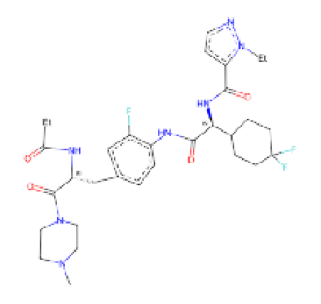 CCC(=O)N[C@H](Cc1ccc(NC(=O)[C@@H](NC(=O)c2ccnn2CC)C2CCC(F)(F)CC2)c(F)c1)C(=O)N1CCN(C)CC1